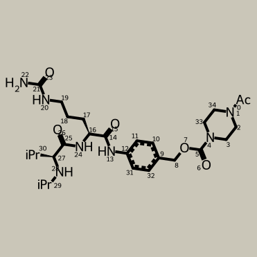 CC(=O)N1CCN(C(=O)OCc2ccc(NC(=O)[C@H](CCCNC(N)=O)NC(=O)[C@@H](NC(C)C)C(C)C)cc2)CC1